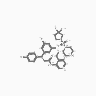 O=C(C[C@@H](c1ccc(F)cc1)c1cc(F)cc(F)c1)Nc1cncc(F)c1CC[C@H]1CNCCN1S(=O)(=O)N1CCC(F)(F)C1